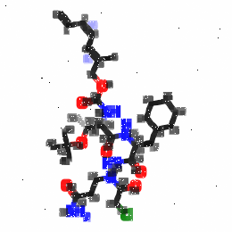 C=C/C=C\C=C(/C)COC(=O)N[C@H](C(=O)N[C@@H](CC1CCCCC1)C(=O)NN(CCC(N)=O)C(=O)CCl)[C@@H](C)OC(C)(C)C